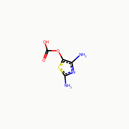 Nc1nc(N)c(OC(=O)O)s1